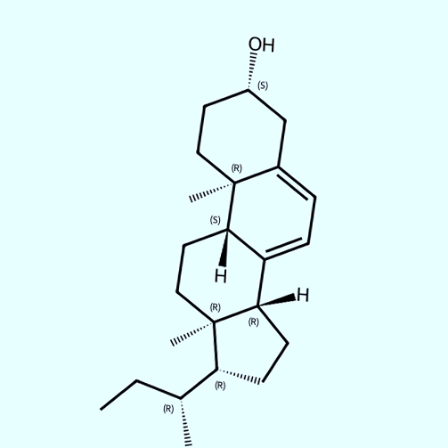 CC[C@@H](C)[C@H]1CC[C@H]2C3=CC=C4C[C@@H](O)CC[C@]4(C)[C@H]3CC[C@]12C